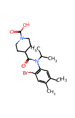 Cc1cc(Br)c(N(C(=O)C2CCN(C(=O)O)CC2)C(C)C)cc1C